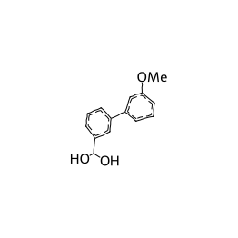 COc1cccc(-c2cccc(C(O)O)c2)c1